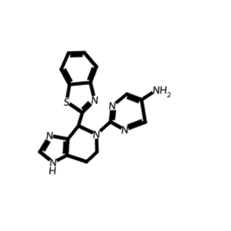 Nc1cnc(N2CCc3[nH]cnc3C2c2nc3ccccc3s2)nc1